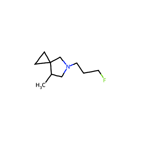 CC1CN(CCCF)CC12CC2